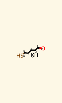 O=CCCCCS.[KH]